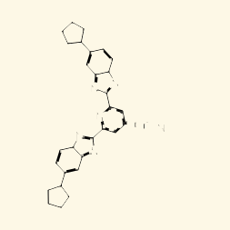 C1=CC2N=C(c3cccc(C4=NC5C=CC(C6CCCC6)=CC5=N4)n3)N=C2C=C1C1CCCC1.[Cl-].[Cl-].[Cl-].[Nd+3]